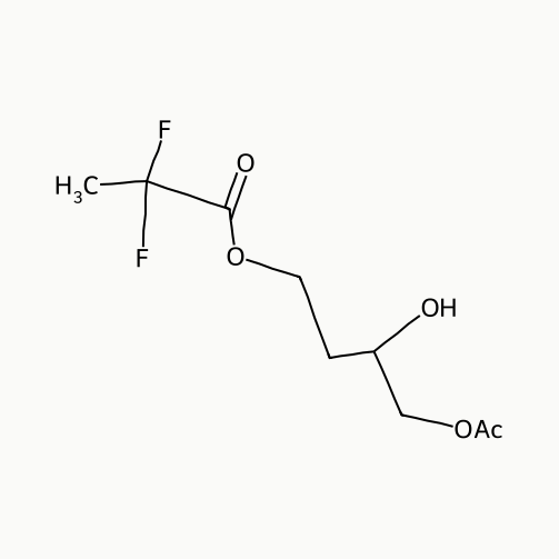 CC(=O)OCC(O)CCOC(=O)C(C)(F)F